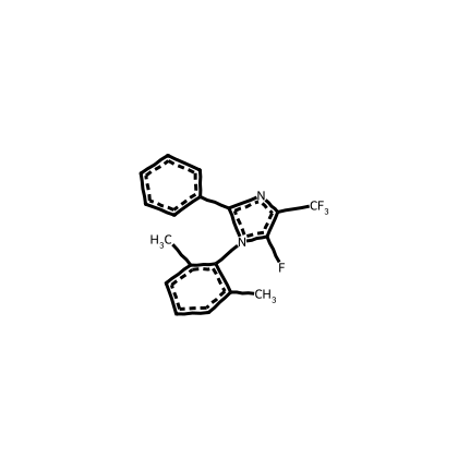 Cc1cccc(C)c1-n1c(-c2ccccc2)nc(C(F)(F)F)c1F